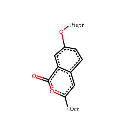 CCCCCCCCc1cc2ccc(OCCCCCCC)cc2c(=O)o1